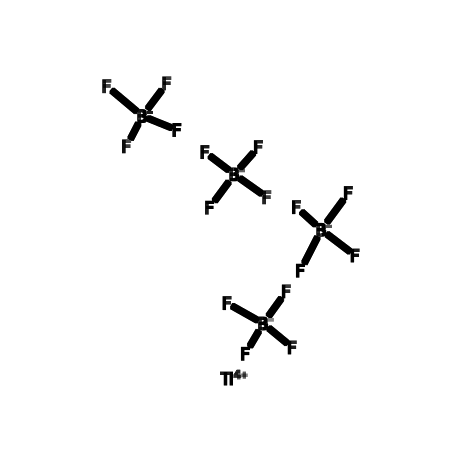 F[B-](F)(F)F.F[B-](F)(F)F.F[B-](F)(F)F.F[B-](F)(F)F.[Ti+4]